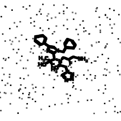 CC(C)(O)[C@H](c1nc(-c2ccccc2)cn1Cc1ccccc1)N(C[C@@H](F)CN)C(=O)Cn1cnnn1